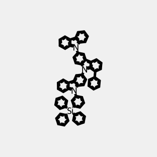 c1ccc(-c2cccc3c4cc(-n5c6ccccc6c6ccccc65)ccc4n(-c4ccc5c(c4)c4ccccc4n5-c4cccc([Si](c5ccccc5)(c5ccccc5)c5ccccc5)c4)c23)cc1